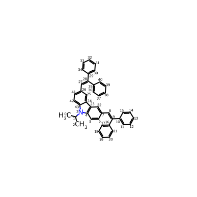 CC(C)n1c2ccc(C=C(c3ccccc3)c3ccccc3)cc2c2cc(C=C(c3ccccc3)c3ccccc3)ccc21